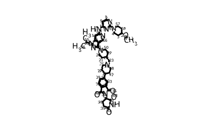 COC1CCN(c2nccc(Nc3cc4c(cn3)c(N3CCC(CN5CCC(c6ccc7c(c6)C(=O)N(C6CCC(=O)NC6=O)C7=O)CC5)CC3)nn4C(C)C)n2)CC1